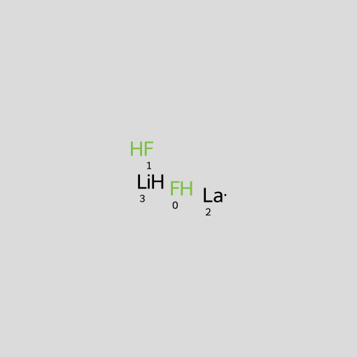 F.F.[La].[LiH]